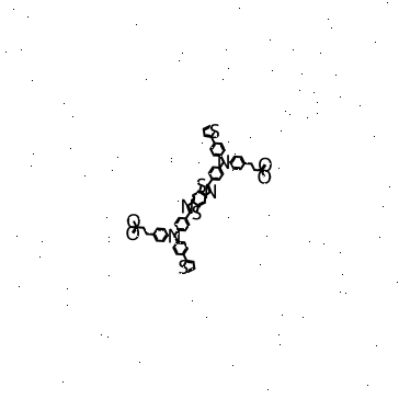 COC(=O)CCc1ccc(N(c2ccc(-c3cccs3)cc2)c2ccc(-c3nc4cc5sc(-c6ccc(N(c7ccc(CCC(=O)OC)cc7)c7ccc(-c8cccs8)cc7)cc6)nc5cc4s3)cc2)cc1